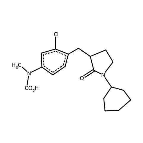 CN(C(=O)O)c1ccc(CC2CCN(C3CCCCC3)C2=O)c(Cl)c1